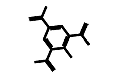 C=C(C)c1cc(C(=C)C)c(C)c(C(=C)C)c1